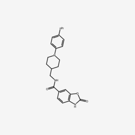 CCCc1ccc(N2CCC(CNC(=O)c3ccc4[nH]c(=O)oc4c3)CC2)cc1